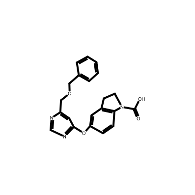 O=C(O)N1CCc2cc(Oc3cc(COCc4ccccc4)ncn3)ccc21